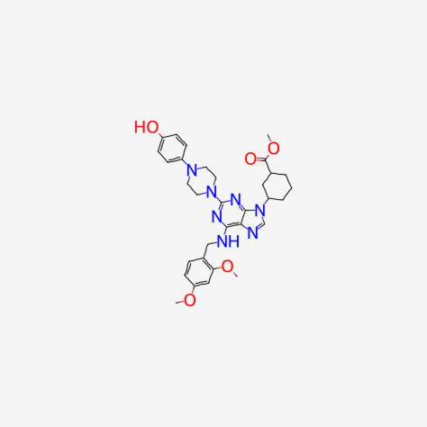 COC(=O)C1CCCC(n2cnc3c(NCc4ccc(OC)cc4OC)nc(N4CCN(c5ccc(O)cc5)CC4)nc32)C1